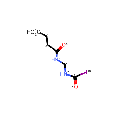 O=C(O)CCC(=O)NCNC(=O)I